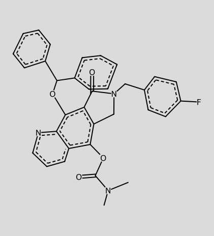 CN(C)C(=O)Oc1c2c(c(OC(c3ccccc3)c3ccccc3)c3ncccc13)C(=O)N(Cc1ccc(F)cc1)C2